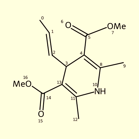 CC=CC1C(C(=O)OC)=C(C)NC(C)=C1C(=O)OC